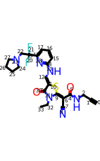 C#CCNC(=O)C(C#N)=c1sc(=CNc2cccc(C(F)(F)CN3CCCC3)n2)c(=O)n1CC